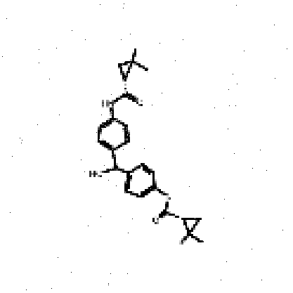 CC1(C)C[C@@H]1C(=O)Nc1ccc(C(O)c2ccc(NC(=O)[C@@H]3CC3(C)C)cc2)cc1